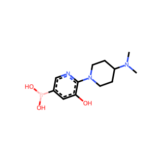 CN(C)C1CCN(c2ncc(B(O)O)cc2O)CC1